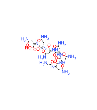 NCC(=O)N[C@@H](CC(N)=O)C(=O)N[C@@H](CC(N)=O)C(=O)N[C@@H](CC(N)=O)C(=O)N[C@@H](CC(N)=O)C(=O)N[C@@H](CC(N)=O)C(=O)N[C@@H](CC(N)=O)C(=O)O